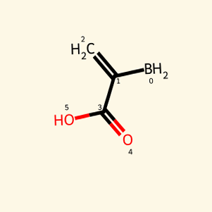 BC(=C)C(=O)O